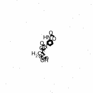 [CH2]C(CS(=O)(=O)O)[C@@H]1CN(c2ccc3c(c2)NC(=O)CO3)C(=O)O1